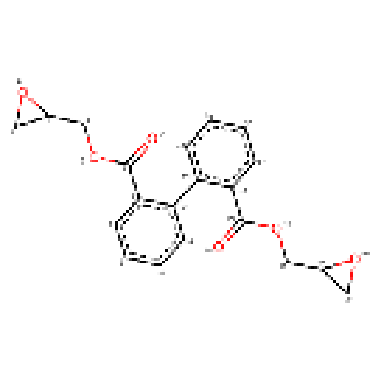 O=C(OCC1CO1)c1ccccc1-c1ccccc1C(=O)OCC1CO1